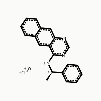 C[C@@H](Nc1ncnc2cc3ccccc3cc12)c1ccccc1.Cl.O